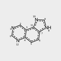 c1ncc2c(ccc3[nH]cnc32)n1